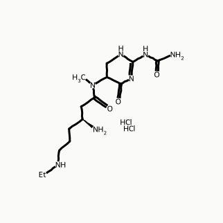 CCNCCC[C@H](N)CC(=O)N(C)C1CNC(NC(N)=O)=NC1=O.Cl.Cl